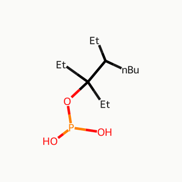 CCCCC(CC)C(CC)(CC)OP(O)O